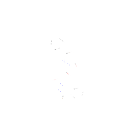 CC(=O)N(C(=O)C(C)C(=O)NN(C)C(=S)c1cccc(F)c1)N(C)C(=S)c1cccc(F)c1